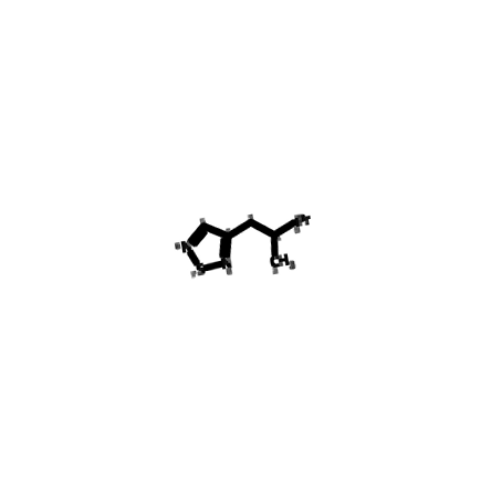 CC(C)C(C)Cc1cnsn1